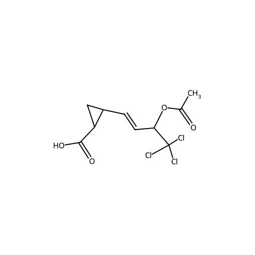 CC(=O)OC(C=CC1CC1C(=O)O)C(Cl)(Cl)Cl